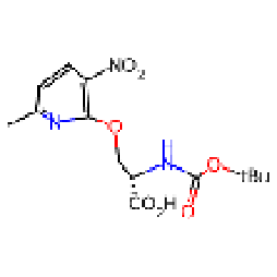 Cc1ccc([N+](=O)[O-])c(OC[C@H](NC(=O)OC(C)(C)C)C(=O)O)n1